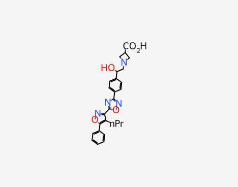 CCCc1c(-c2nc(-c3ccc(C(O)CN4CC(C(=O)O)C4)cc3)no2)noc1-c1ccccc1